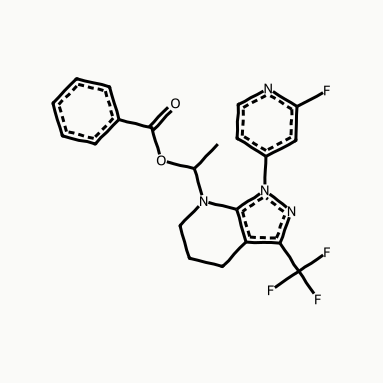 CC(OC(=O)c1ccccc1)N1CCCc2c(C(F)(F)F)nn(-c3ccnc(F)c3)c21